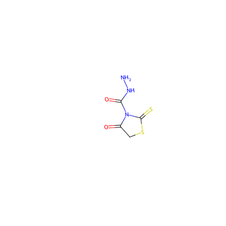 NNC(=O)N1C(=O)CSC1=S